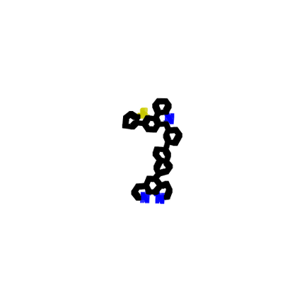 c1cc(-c2ccc3cc(-c4cc5cccnc5c5ncccc45)ccc3c2)cc(-c2nc3ccccc3c3c2ccc2c4ccccc4sc23)c1